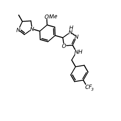 COC1C=C(C2NN=C(NCC3C=CC(C(F)(F)F)=CC3)O2)C=CC1N1C=NC(C)C1